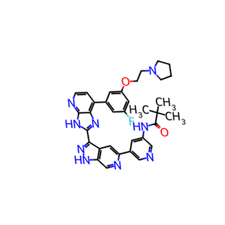 CC(C)(C)C(=O)Nc1cncc(-c2cc3c(-c4nc5c(-c6cc(F)cc(OCCN7CCCC7)c6)ccnc5[nH]4)n[nH]c3cn2)c1